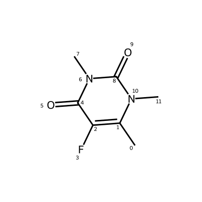 Cc1c(F)c(=O)n(C)c(=O)n1C